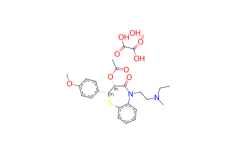 CCN(C)CCN1C(=O)[C@@H](OC(C)=O)[C@@H](c2ccc(OC)cc2)Sc2ccccc21.O.O=C(O)C(=O)O